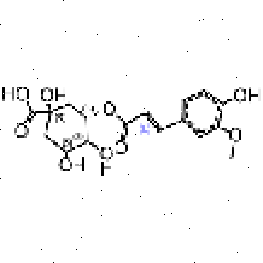 COc1cc(/C=C/C(=O)O[C@H]2C[C@@](O)(C(=O)O)C[C@H](O)[C@@H]2O)ccc1O